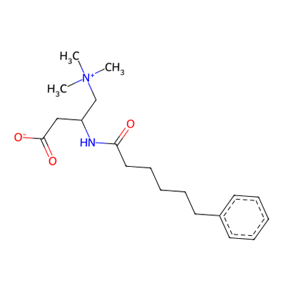 C[N+](C)(C)CC(CC(=O)[O-])NC(=O)CCCCCc1ccccc1